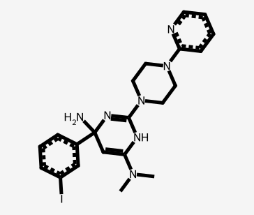 CN(C)C1=CC(N)(c2cccc(I)c2)N=C(N2CCN(c3ccccn3)CC2)N1